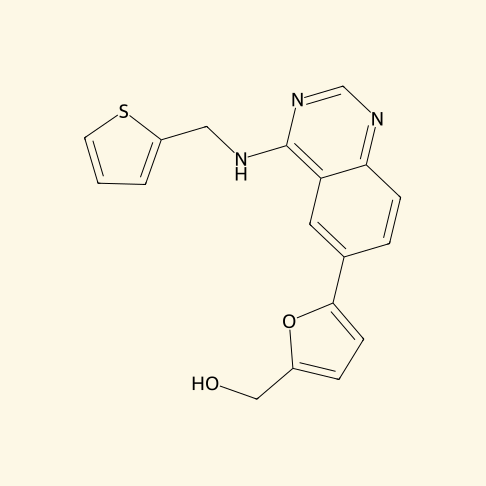 OCc1ccc(-c2ccc3ncnc(NCc4cccs4)c3c2)o1